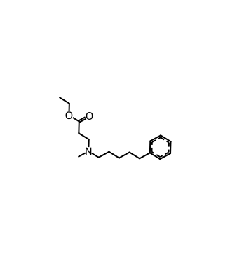 CCOC(=O)CCN(C)CCCCCc1ccccc1